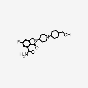 NC(=O)c1cc(F)cc2c1C(=O)N(C1CCN(C3CCC(CO)CC3)CC1)C2